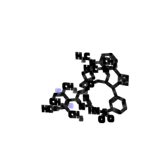 C#C/C(C)=C(\C(C)=C/C)c1cc2nc(n1)NS(=O)(=O)c1cccc(c1)C(C13CC(C1)C3c1cccc(N(C)C3CC4(CC4)C3)n1)C(CC(C)C)CO2